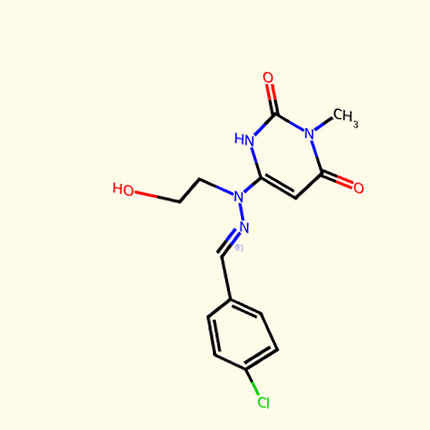 Cn1c(=O)cc(N(CCO)/N=C/c2ccc(Cl)cc2)[nH]c1=O